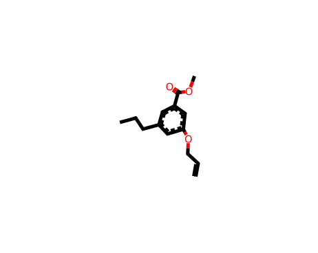 C=CCOc1cc(CCC)cc(C(=O)OC)c1